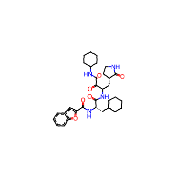 O=C(NC1CCCCC1)C(=O)C(C[C@@H]1CCNC1=O)NC(=O)[C@H](CC1CCCCC1)NC(=O)c1cc2ccccc2o1